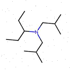 CCC(CC)N(CC(C)C)CC(C)C